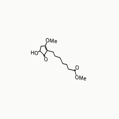 COC(=O)CCCCCCC1=C(OC)CC(O)C1=O